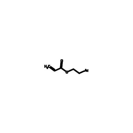 C=CC(=O)OCCC(C)=O